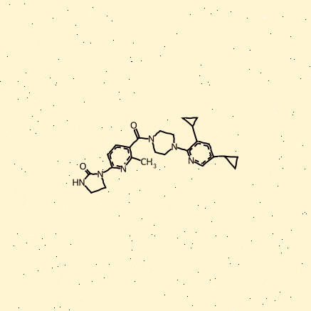 Cc1nc(N2CCNC2=O)ccc1C(=O)N1CCN(c2ncc(C3CC3)cc2C2CC2)CC1